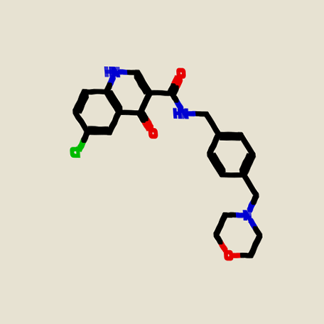 O=C(NCc1ccc(CN2CCOCC2)cc1)c1c[nH]c2ccc(Cl)cc2c1=O